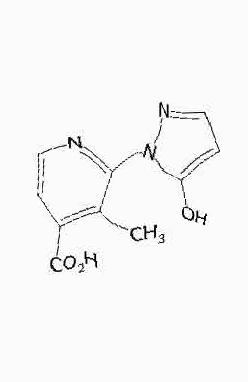 Cc1c(C(=O)O)ccnc1-n1nccc1O